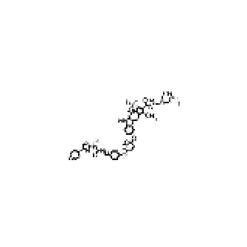 CCN(CC)CCNC(=O)c1c(C)[nH]c(/C=C2\C(=O)Nc3ccc(OC(=O)/C=C\C(=O)Oc4ccc(CNC(=O)Nc5nc(-c6ccncc6)cs5)cc4)cc32)c1C